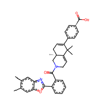 Cc1cc2nc(-c3ccccc3C(=O)N3CC=C4C(C)(C)C(c5ccc(C(=O)O)cc5)=CC[C@]4(C)C3)oc2cc1C